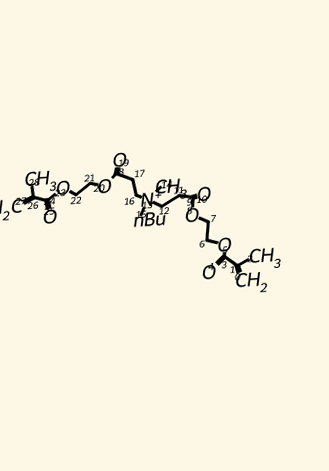 C=C(C)C(=O)OCCOC(=O)CC[N+](C)(CCCC)CCC(=O)OCCOC(=O)C(=C)C